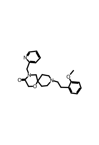 COc1ccccc1CCN1CCC2(CC1)CN(Cc1ccccn1)C(=O)CO2